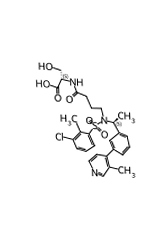 Cc1cnccc1-c1cccc([C@H](C)N(CCCC(=O)N[C@@H](CO)C(=O)O)S(=O)(=O)c2cccc(Cl)c2C)c1